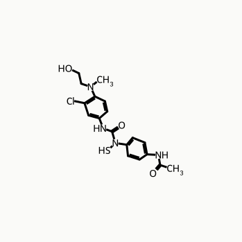 CC(=O)Nc1ccc(N(S)C(=O)Nc2ccc(N(C)CCO)c(Cl)c2)cc1